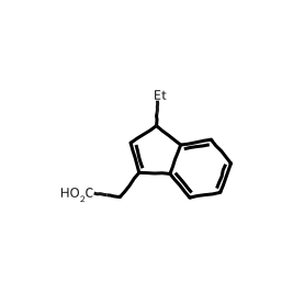 CCC1C=C(CC(=O)O)c2ccccc21